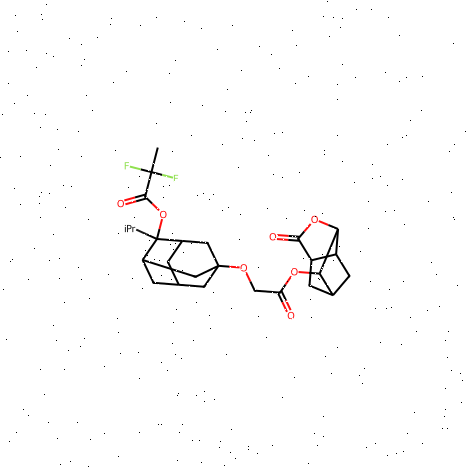 CC(C)C1(OC(=O)C(C)(F)F)C2CC3CC1CC(OCC(=O)OC1C4CC5C(=O)OC1C5C4)(C3)C2